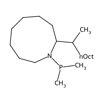 CCCCCCCCC(C)C1CCCCCCCN1P(C)C